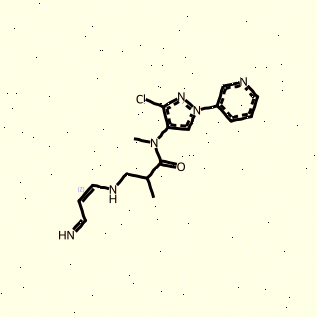 CC(CN/C=C\C=N)C(=O)N(C)c1cn(-c2cccnc2)nc1Cl